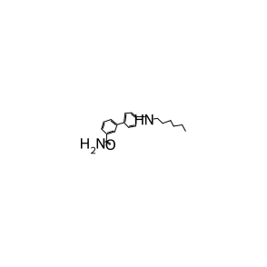 CCCCCCNCc1ccc(-c2cccc(C(N)=O)c2)cc1